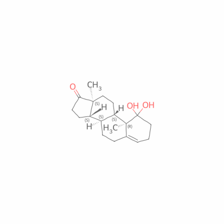 C[C@@]12C(=CCCC1(O)O)CC[C@@H]1[C@@H]2CC[C@]2(C)C(=O)CC[C@@H]12